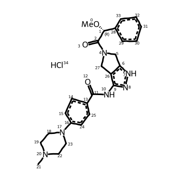 CO[C@@H](C(=O)N1Cc2[nH]nc(NC(=O)c3ccc(N4CCN(C)CC4)cc3)c2C1)c1ccccc1.Cl